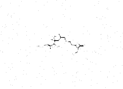 CC(=CC(=O)O)C(O)C(C)(O)CC(C)CCCCC1OC(=O)C1CO